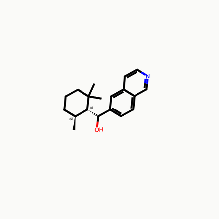 C[C@H]1CCCC(C)(C)[C@@H]1C(O)c1ccc2cnccc2c1